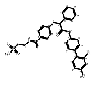 O=C(NCCS(=O)(=O)O)c1ccc(CC(C(=O)Nc2ccc(-c3ccc(Cl)cc3Cl)cc2)c2ccccc2)cc1